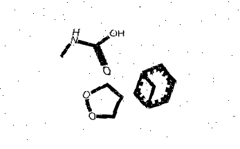 C1COOC1.CNC(=O)O.c1cc2cc(c1)C2